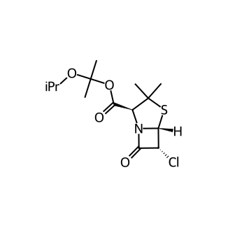 CC(C)OC(C)(C)OC(=O)[C@@H]1N2C(=O)[C@@H](Cl)[C@H]2SC1(C)C